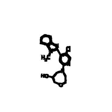 Cn1c(-c2cc(N3CCOCC(O)C3)ncc2Cl)nc2ccccc21